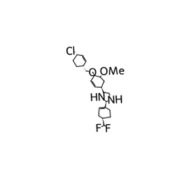 COC1C[C@@H](C2CN[C@@H](C3=CC[C@H](C(F)F)CC3)N2)C=C[C@H]1OC[C@H]1C=C[C@@H](Cl)CC1